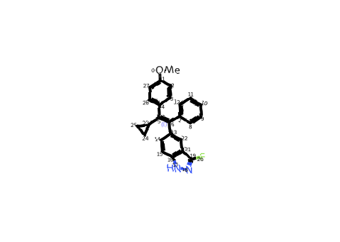 COc1ccc(/C(=C(\c2[c]cccc2)c2ccc3[nH]nc(F)c3c2)C2CC2)cc1